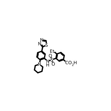 CCc1ccc(C(=O)O)cc1S(=O)(=O)Nc1cc(-c2nncs2)ccc1N1CCCCC1